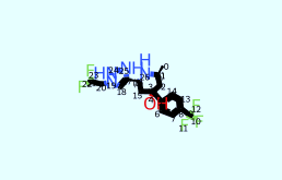 C[C@H]1CC(O)(c2ccc(C(F)(F)F)cc2)C[C@@H](C2=CN(CC(F)F)NN2)N1